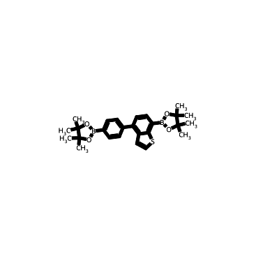 CC1(C)OB(c2ccc(-c3ccc(B4OC(C)(C)C(C)(C)O4)c4sccc34)cc2)OC1(C)C